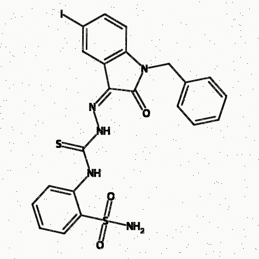 NS(=O)(=O)c1ccccc1NC(=S)NN=C1C(=O)N(Cc2ccccc2)c2ccc(I)cc21